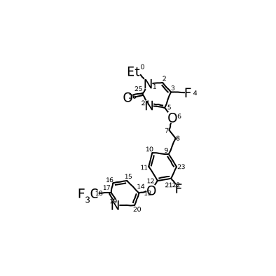 CCn1cc(F)c(OCCc2ccc(Oc3ccc(C(F)(F)F)nc3)c(F)c2)nc1=O